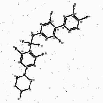 CC1COC(c2cc(F)c(C(F)(F)Oc3cc(F)c(-c4ccc(F)c(F)c4)c(F)c3)c(F)c2)OC1